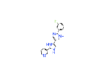 Fc1cccc(C2=NC=C(C3=CNC(c4cccnc4)N3)CN2)c1